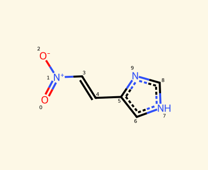 O=[N+]([O-])C=Cc1c[nH]cn1